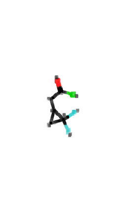 O=C(Cl)CC1CC1(F)F